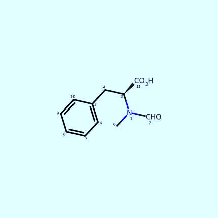 CN(C=O)[C@@H](Cc1ccccc1)C(=O)O